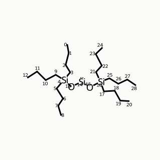 CCCC[Si](CCCC)(CCCC)O[Si]O[Si](CCCC)(CCCC)CCCC